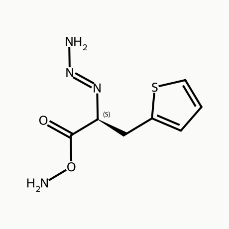 NN=N[C@@H](Cc1cccs1)C(=O)ON